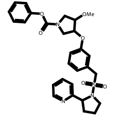 COC1CN(C(=O)Oc2ccccc2)CC1Oc1cccc(CS(=O)(=O)N2CCCC2c2ccccn2)c1